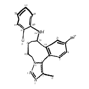 Cc1nnn2c1-c1ccc(Br)cc1C(Nc1ccccc1Cl)CC2